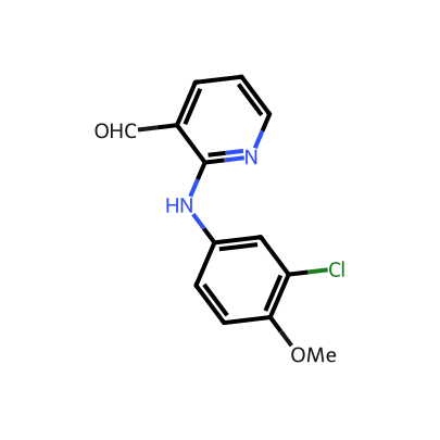 COc1ccc(Nc2ncccc2C=O)cc1Cl